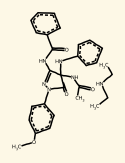 CCNCC.COc1ccc(N2N=C(NC(=O)c3ccccc3)C(NC(C)=O)(Nc3ccccc3)C2=O)cc1